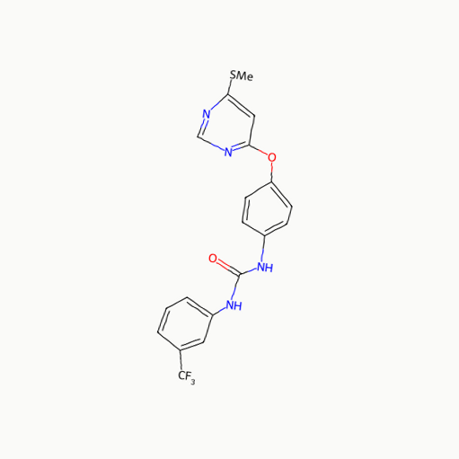 CSc1cc(Oc2ccc(NC(=O)Nc3cccc(C(F)(F)F)c3)cc2)ncn1